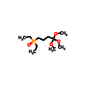 CCP(=O)(CC)CCC[Si](OC)(OC)OC